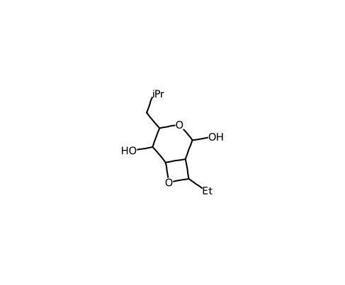 CCC1OC2C(O)C(CC(C)C)OC(O)C12